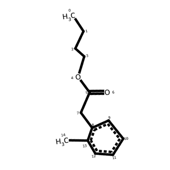 CCCCOC(=O)Cc1ccccc1C